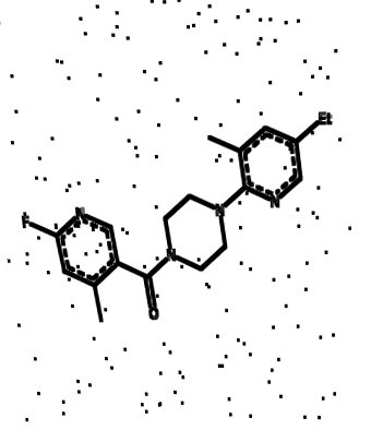 CCc1cnc(N2CCN(C(=O)c3cnc(F)cc3C)CC2)c(C)c1